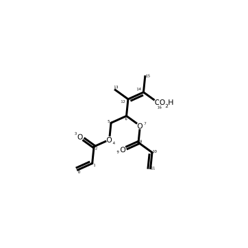 C=CC(=O)OCC(OC(=O)C=C)C(C)=C(C)C(=O)O